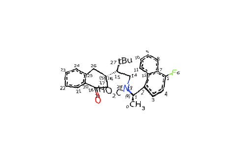 C[C@H](c1ccc(F)c2ccccc12)N(CC([C@@H]1CC(=O)c2ccccc2C1)C(C)(C)C)C(=O)O